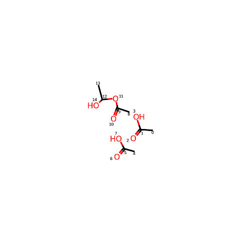 CC(=O)O.CC(=O)O.CC(=O)OC(C)O